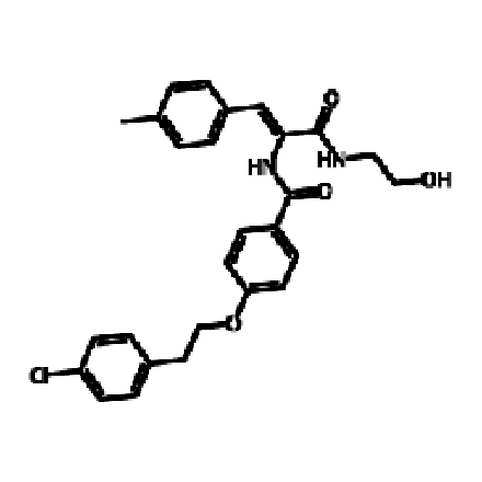 Cc1ccc(/C=C(\NC(=O)c2ccc(OCCc3ccc(Cl)cc3)cc2)C(=O)NCCO)cc1